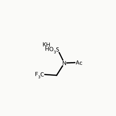 CC(=O)N(CC(F)(F)F)S(=O)(=O)O.[KH]